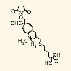 C=NC1=C(/C=C(\C)CSCCCCP(=O)(O)O)C=CC(C=O)(CON2C(=O)CCC2=O)C=C1